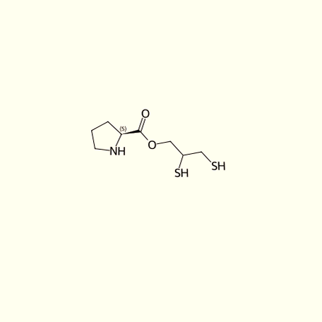 O=C(OCC(S)CS)[C@@H]1CCCN1